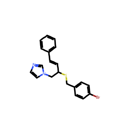 Brc1ccc(CSC(/C=C/c2ccccc2)Cn2ccnc2)cc1